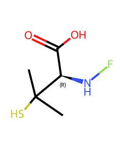 CC(C)(S)[C@H](NF)C(=O)O